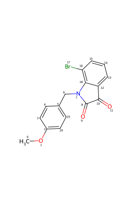 COc1ccc(CN2C(=O)C(=O)c3cccc(Br)c32)cc1